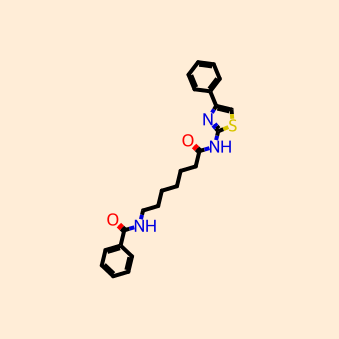 O=C(CCCCCCNC(=O)c1ccccc1)Nc1nc(-c2ccccc2)cs1